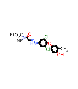 CCOC(=O)N(C#N)C(=O)C=NNc1cc(Cl)c(Oc2ccc(O)c(C(F)(F)F)c2)c(Cl)c1